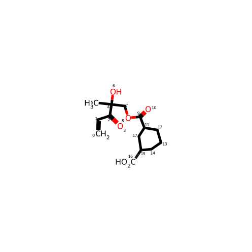 C=CC(=O)C(C)(O)COC(=O)C1CCCC(C(=O)O)C1